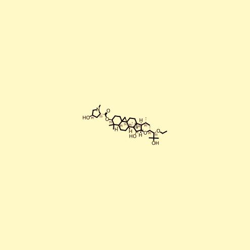 CCO[C@@H]([C@H]1C[C@@H](C)[C@H]2[C@H](O1)[C@H](O)[C@@]1(C)[C@@H]3CC[C@H]4C(C)(C)[C@@H](OC(=O)[C@@H]5C[C@@H](O)CN5C)CCC45C[C@@]35CC[C@]21C)C(C)(C)O